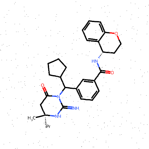 CC(C)[C@]1(C)CC(=O)N(C(c2cccc(C(=O)N[C@H]3CCOc4ccccc43)c2)C2CCCC2)C(=N)N1